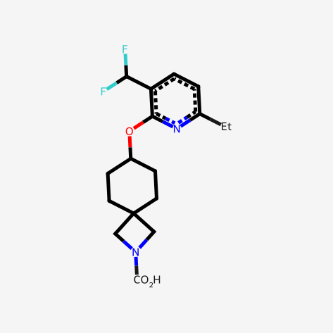 CCc1ccc(C(F)F)c(OC2CCC3(CC2)CN(C(=O)O)C3)n1